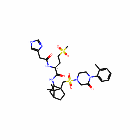 Cc1ccccc1N1CCN(S(=O)(=O)CC23CCC(CC2NC(=O)[C@H](CCS(C)(=O)=O)NC(=O)Cc2c[nH]cn2)C3(C)C)CC1=O